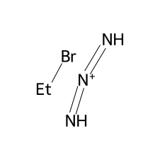 CCBr.N=[N+]=N